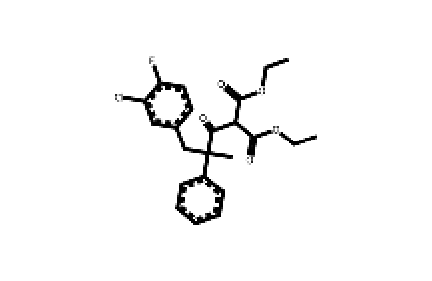 CCOC(=O)C(C(=O)OCC)C(=O)C(C)(Cc1ccc(F)c(Cl)c1)c1ccccc1